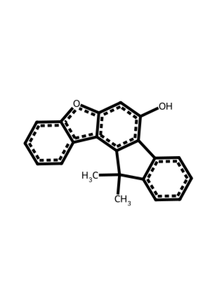 CC1(C)c2ccccc2-c2c(O)cc3oc4ccccc4c3c21